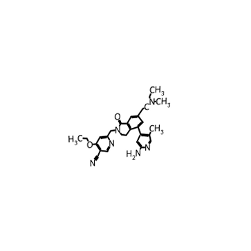 CCOc1cc(CN2CCc3c(cc(CCN(C)CC)cc3-c3cc(N)ncc3C)C2=O)ncc1C#N